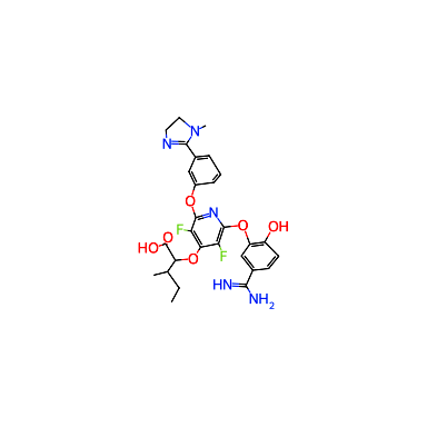 CCC(C)C(Oc1c(F)c(Oc2cccc(C3=NCCN3C)c2)nc(Oc2cc(C(=N)N)ccc2O)c1F)C(=O)O